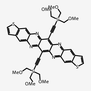 COC[Si](C#Cc1c2nc3cc4ccsc4cc3nc2c(C#C[Si](COC)(COC)COC)c2nc3cc4ccsc4cc3nc12)(COC)COC